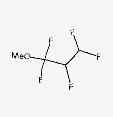 COC(F)(F)C(F)C(F)F